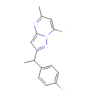 Cc1cc(Cl)n2nc(C(C)c3ccc(Cl)cc3)cc2n1